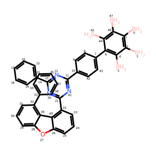 Bc1c(B)c(B)c(-c2ccc(-c3nc(-c4ccccc4)nc(-c4cccc5oc6cccc(-c7ccccc7)c6c45)n3)cc2)c(B)c1B